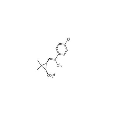 CC1(C)[C@H](C(=O)O)[C@@H]1/C=C(/c1ccc(Cl)cc1)C(F)(F)F